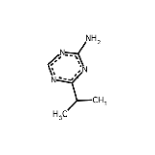 CC(C)c1ncnc(N)n1